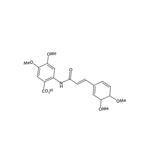 COc1cc(NC(=O)/C=C/C2=CC(OC)C(OC)C=C2)c(C(=O)O)cc1OC